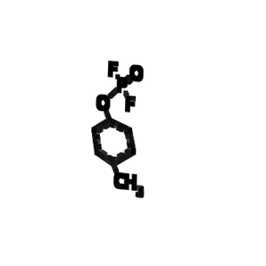 Cc1ccc(OP(=O)(F)F)cc1